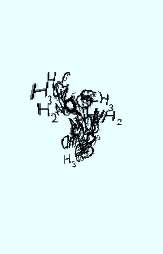 CCN(CC)c1cc(OC)c(Nc2ncc(Cl)c(Nc3cc(OC(N)=O)ccc3S(C)(=O)=O)n2)cc1N